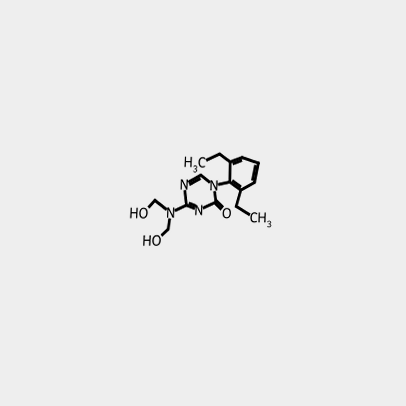 CCc1cccc(CC)c1-n1cnc(N(CO)CO)nc1=O